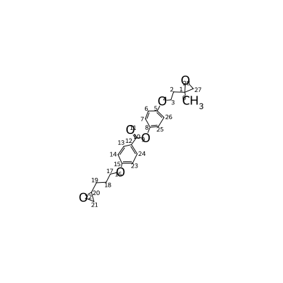 CC1(CCOc2ccc(OC(=O)c3ccc(OCCCC4CO4)cc3)cc2)CO1